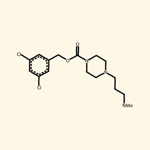 CNCCCN1CCN(C(=O)OCc2cc(Cl)cc(Cl)c2)CC1